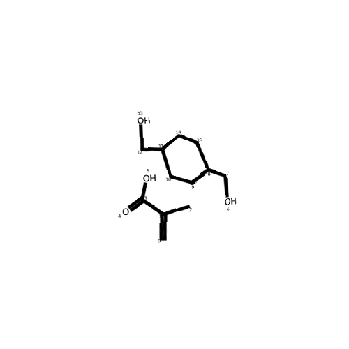 C=C(C)C(=O)O.OCC1CCC(CO)CC1